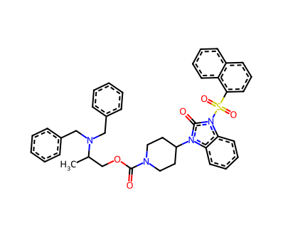 CC(COC(=O)N1CCC(n2c(=O)n(S(=O)(=O)c3cccc4ccccc34)c3ccccc32)CC1)N(Cc1ccccc1)Cc1ccccc1